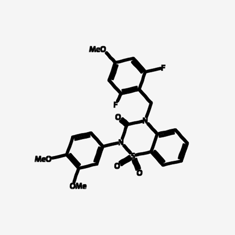 COc1cc(F)c(CN2C(=O)N(c3ccc(OC)c(OC)c3)S(=O)(=O)c3ccccc32)c(F)c1